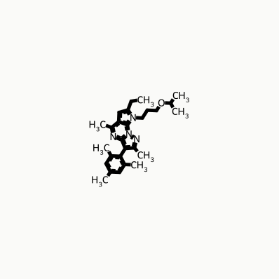 CCc1cc2c(C)nc3c(-c4c(C)cc(C)cc4C)c(C)nn3c2n1CCCOC(C)C